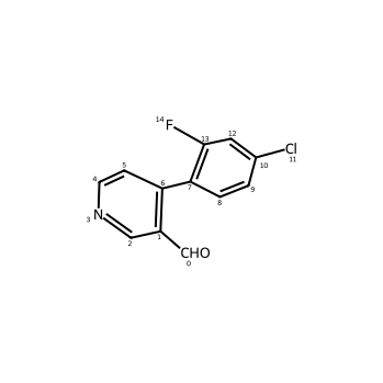 O=Cc1cnccc1-c1ccc(Cl)cc1F